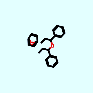 CCC(OC(CC)c1ccccc1)c1ccccc1.c1cc2ccc1o2